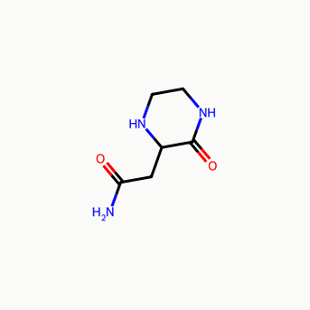 NC(=O)CC1NCCNC1=O